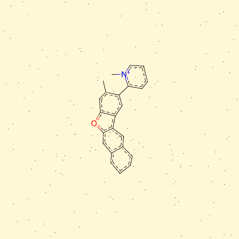 Cc1cc2oc3cc4ccccc4cc3c2cc1-c1cccc[n+]1C